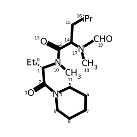 CC[C@@H](C(=O)N1CCCCC1)N(C)C(=O)C(CC(C)C)N(C)C=O